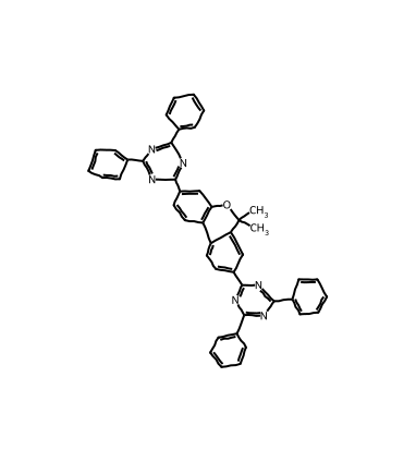 CC1(C)Oc2cc(-c3nc(-c4ccccc4)nc(-c4ccccc4)n3)ccc2-c2ccc(-c3nc(-c4ccccc4)nc(-c4ccccc4)n3)cc21